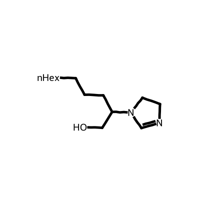 CCCCCCCCCC(CO)N1C=NCC1